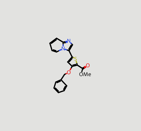 COC(=O)c1sc(-c2cnc3ccccn23)cc1OCc1ccccc1